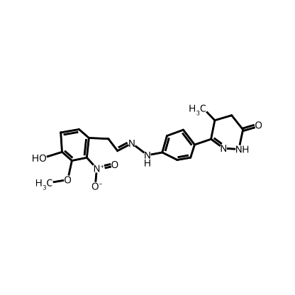 COc1c(O)ccc(CC=NNc2ccc(C3=NNC(=O)CC3C)cc2)c1[N+](=O)[O-]